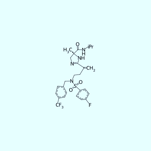 C=C(CCN(Cc1ccc(C(F)(F)F)cc1)S(=O)(=O)c1ccc(F)cc1)C1=NC[C@](C)(C(=O)NC(C)C)N1